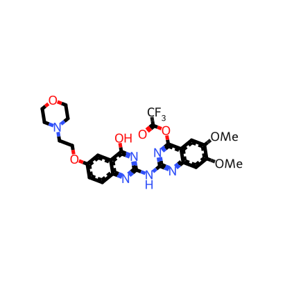 COc1cc2nc(Nc3nc(O)c4cc(OCCN5CCOCC5)ccc4n3)nc(OC(=O)C(F)(F)F)c2cc1OC